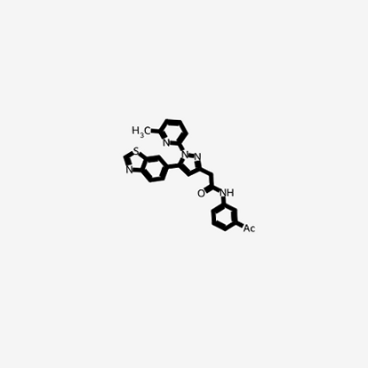 CC(=O)c1cccc(NC(=O)Cc2cc(-c3ccc4ncsc4c3)n(-c3cccc(C)n3)n2)c1